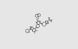 Cc1cc2c(cnn2C2CCCCO2)c(N2CCc3c(nc(OCC45CCCN4CCC5)nc3N3CCCn4nc(C(=O)N(C)C)cc4C3)C2)c1C